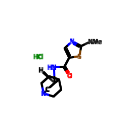 CNc1ncc(C(=O)N[C@H]2CN3CCC2CC3)s1.Cl